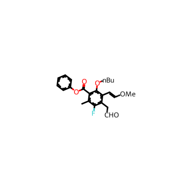 CCCCOc1c(C=COC)c(CC=O)c(F)c(C)c1C(=O)Oc1ccccc1